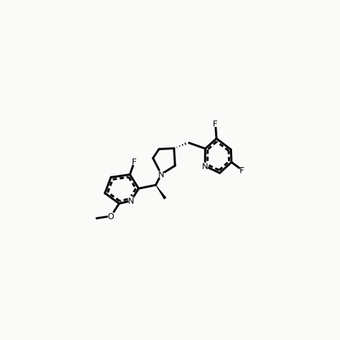 COc1ccc(F)c([C@H](C)N2CC[C@H](Cc3ncc(F)cc3F)C2)n1